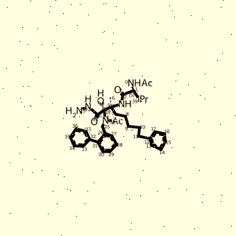 CC(=O)N[C@H](C(=O)N[C@@](C)(CCCCCc1ccccc1)[C@](O)(C(=O)NN)N(Cc1ccccc1-c1ccccc1)C(C)=O)C(C)C